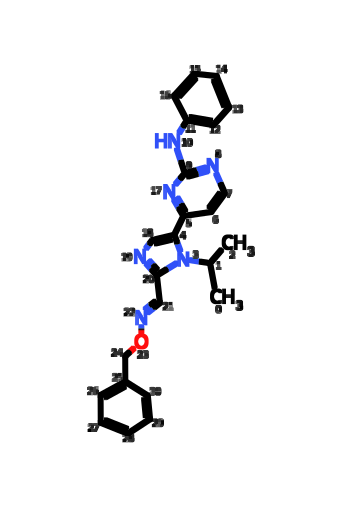 CC(C)n1c(-c2ccnc(Nc3ccccc3)n2)cnc1C=NOCc1ccccc1